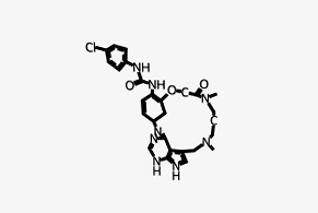 CN1CCCN(C)C(=O)COC2=C(NC(=O)Nc3ccc(Cl)cc3)C=CC(C2)/N=C2\N=CNc3[nH]cc(c32)C1